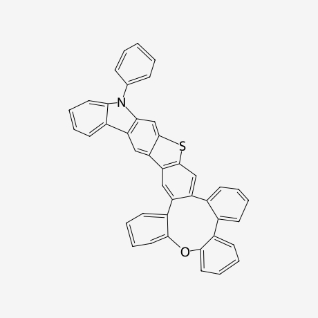 c1ccc(-n2c3ccccc3c3cc4c(cc32)sc2cc3c(cc24)c2ccccc2oc2ccccc2c2ccccc23)cc1